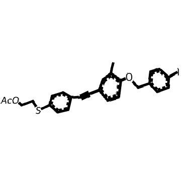 CC(=O)OCCSc1ccc(C#Cc2ccc(OCc3ccc(I)cc3)c(C)c2)cc1